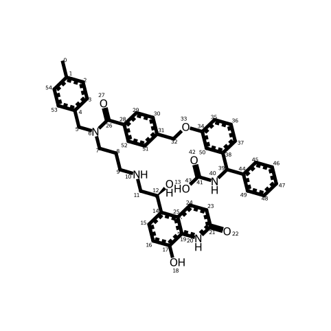 Cc1ccc(CN(CCCNC[C@@H](O)c2ccc(O)c3[nH]c(=O)ccc23)C(=O)c2ccc(COc3cccc(C(NC(=O)O)c4ccccc4)c3)cc2)cc1